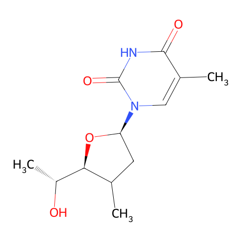 Cc1cn([C@H]2CC(C)[C@@H]([C@@H](C)O)O2)c(=O)[nH]c1=O